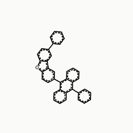 c1ccc(-c2ccc3oc4ccc(-c5c6ccccc6c(-c6ccccc6)c6ccccc56)cc4c3c2)cc1